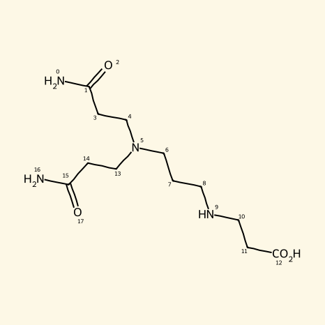 NC(=O)CCN(CCCNCCC(=O)O)CCC(N)=O